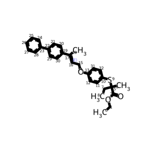 CCOC(=O)C(C)(CC)Sc1ccc(OC/C=C(\C)c2ccc(-c3ccccc3)cc2)cc1